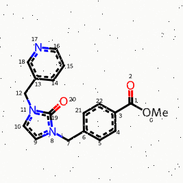 COC(=O)c1ccc(Cn2ccn(Cc3cccnc3)c2=O)cc1